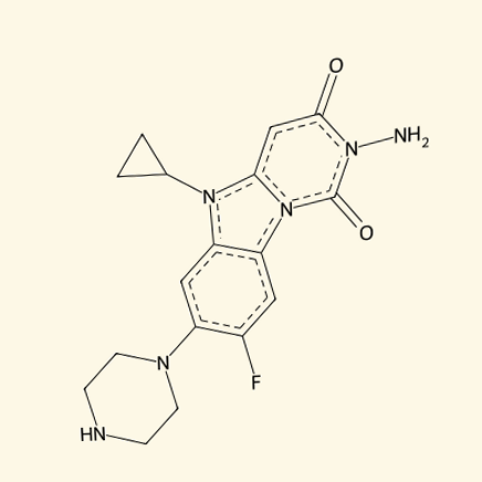 Nn1c(=O)cc2n(C3CC3)c3cc(N4CCNCC4)c(F)cc3n2c1=O